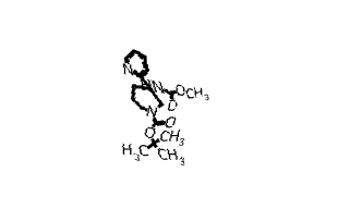 COC(=O)NC1(c2ccccn2)CCCN(C(=O)OC(C)(C)C)C1